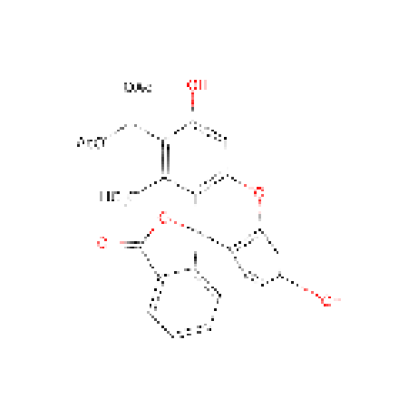 CC(=O)OC(OC(C)=O)c1c(O)cc2c(c1C(=O)O)C1(OC(=O)c3ccccc31)c1ccc(O)cc1O2